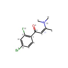 C/C(=C/C(=O)c1ccc(Br)cc1F)N(C)C